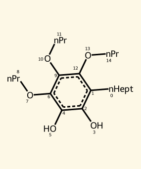 CCCCCCCc1c(O)c(O)c(OCCC)c(OCCC)c1OCCC